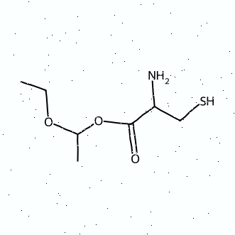 CCOC(C)OC(=O)C(N)CS